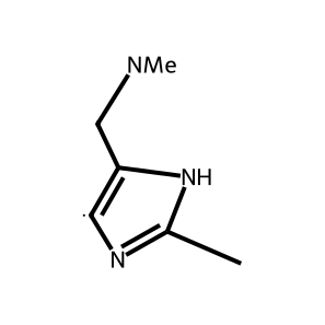 CNCc1[c]nc(C)[nH]1